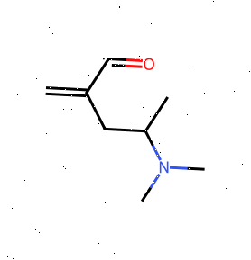 C=C([C]=O)CC(C)N(C)C